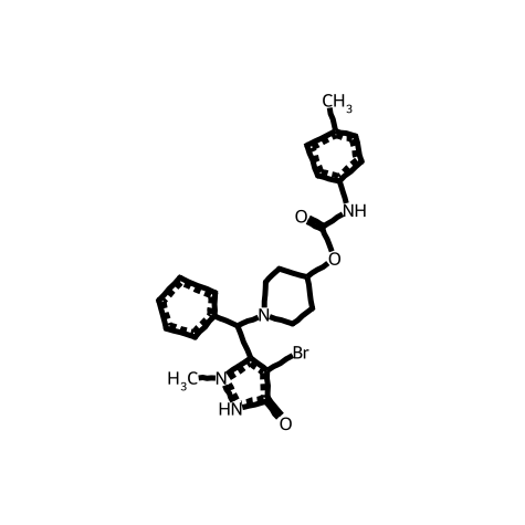 Cc1ccc(NC(=O)OC2CCN(C(c3ccccc3)c3c(Br)c(=O)[nH]n3C)CC2)cc1